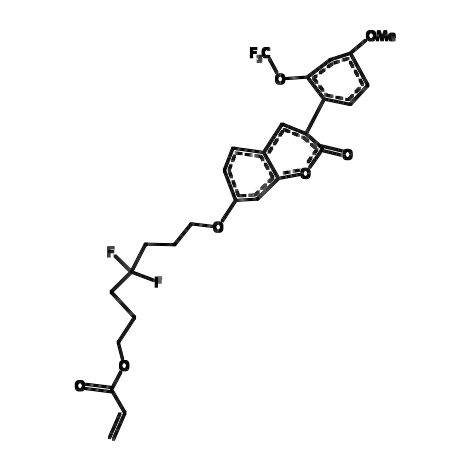 C=CC(=O)OCCCC(F)(F)CCCOc1ccc2cc(-c3ccc(OC)cc3OC(F)(F)F)c(=O)oc2c1